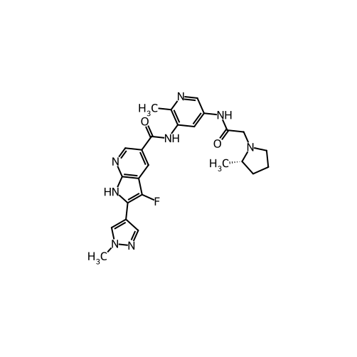 Cc1ncc(NC(=O)CN2CCC[C@@H]2C)cc1NC(=O)c1cnc2[nH]c(-c3cnn(C)c3)c(F)c2c1